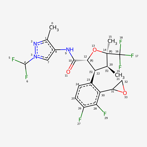 Cc1nn(C(F)F)cc1NC(=O)[C@@H]1O[C@@](C)(C(F)(F)F)[C@@H](C)[C@H]1c1ccc(F)c(F)c1C1CO1